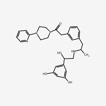 CC(Cc1cccc(CC(=O)N2CCN(c3ccccn3)CC2)c1)NCC(O)c1cc(O)cc(O)c1